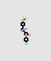 O=C1CC(c2ncc(-c3ccc(OC(F)(F)F)cc3)[nH]2)CN1C1CC=C(Cl)CC1